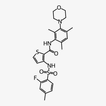 Cc1ccc(S(=O)(=O)Nc2ccsc2C(=O)Nc2c(C)cc(C)c(N3CCOCC3)c2C)c(F)c1